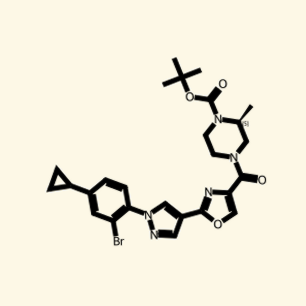 C[C@H]1CN(C(=O)c2coc(-c3cnn(-c4ccc(C5CC5)cc4Br)c3)n2)CCN1C(=O)OC(C)(C)C